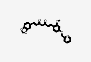 COc1cc(OCc2ccccn2)ccc1C=CC(=O)CC(=O)C=Cc1ccc2c(c1)OCO2